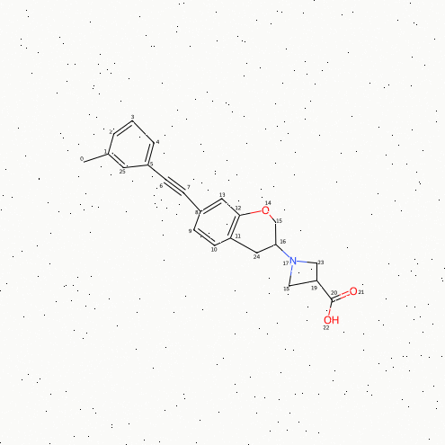 Cc1cccc(C#Cc2ccc3c(c2)OCC(N2CC(C(=O)O)C2)C3)c1